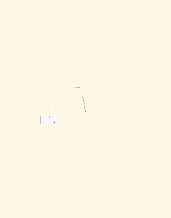 CC1C2CC3C(C)C(NC1C2C)C3C